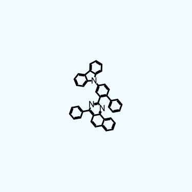 c1ccc(-c2ccc(-n3c4ccccc4c4ccccc43)cc2-c2nc(-c3ccccc3)c3ccc4ccccc4c3n2)cc1